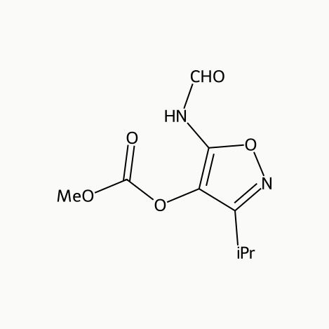 COC(=O)Oc1c(C(C)C)noc1NC=O